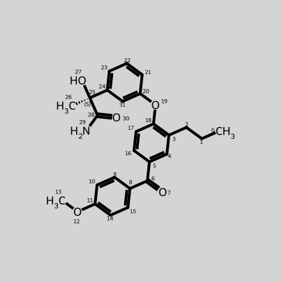 CCCc1cc(C(=O)c2ccc(OC)cc2)ccc1Oc1cccc([C@](C)(O)C(N)=O)c1